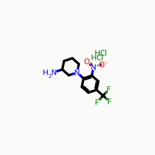 Cl.Cl.NC1CCCN(c2ccc(C(F)(F)F)cc2[N+](=O)[O-])C1